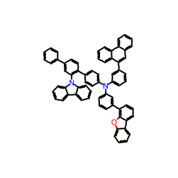 c1ccc(-c2ccc(-c3ccc(N(c4cccc(-c5cc6ccccc6c6ccccc56)c4)c4cccc(-c5cccc6c5oc5ccccc56)c4)cc3)c(-n3c4ccccc4c4ccccc43)c2)cc1